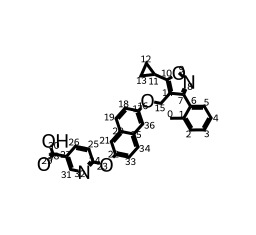 Cc1ccccc1-c1noc(C2CC2)c1COc1ccc2cc(Oc3ccc(C(=O)O)cn3)ccc2c1